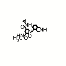 CNC(=O)c1cc(C(=O)NC2CC2)cn(Cc2cccc3c2CCNC3)c1=O